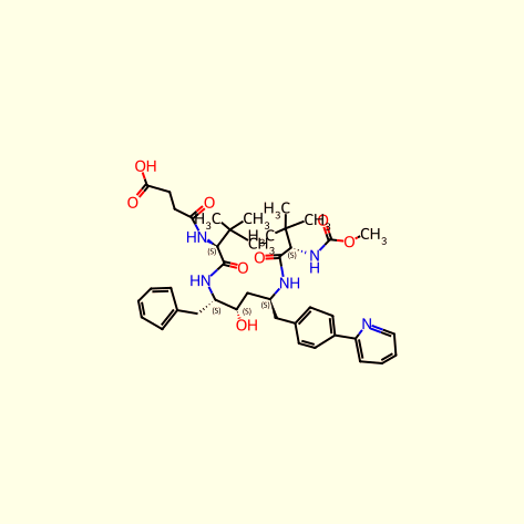 COC(=O)N[C@H](C(=O)N[C@@H](Cc1ccc(-c2ccccn2)cc1)C[C@H](O)[C@H](Cc1ccccc1)NC(=O)[C@@H](NC(=O)CCC(=O)O)C(C)(C)C)C(C)(C)C